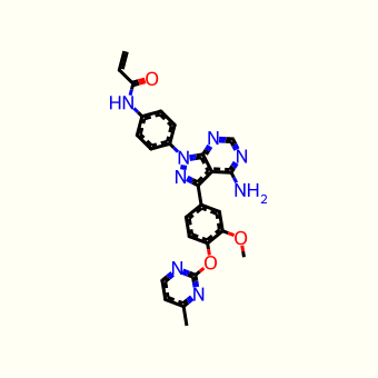 C=CC(=O)Nc1ccc(-n2nc(-c3ccc(Oc4nccc(C)n4)c(OC)c3)c3c(N)ncnc32)cc1